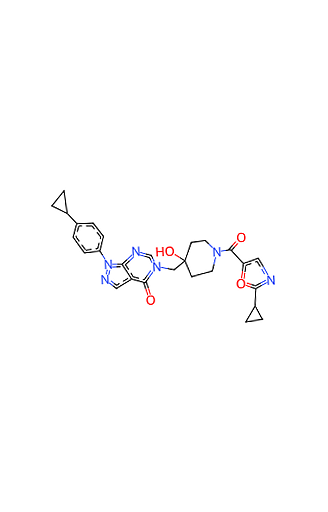 O=C(c1cnc(C2CC2)o1)N1CCC(O)(Cn2cnc3c(cnn3-c3ccc(C4CC4)cc3)c2=O)CC1